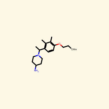 COCCOc1ccc(C(C)N2CCC(N)CC2)c(C)c1C